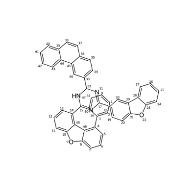 c1ccc(-c2cccc3oc4cccc(C5=NC(c6ccc7oc8ccccc8c7c6)=NC(c6ccc7ccc8ccccc8c7c6)N5)c4c23)cc1